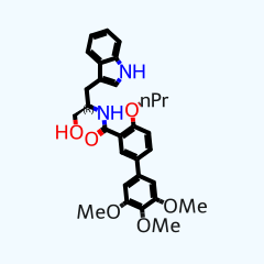 CCCOc1ccc(-c2cc(OC)c(OC)c(OC)c2)cc1C(=O)N[C@@H](CO)Cc1c[nH]c2ccccc12